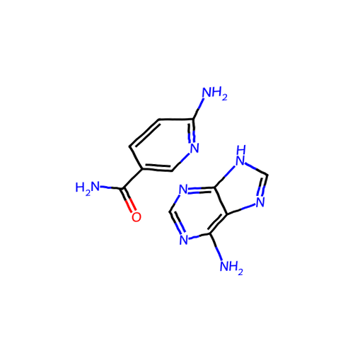 NC(=O)c1ccc(N)nc1.Nc1ncnc2[nH]cnc12